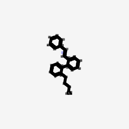 N#CCCCc1ccccc1-c1ccccc1/C=C/c1ccccc1